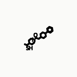 CC(S)C1CCN(C(=O)CC2CCC(c3ccccc3)CC2)CC1